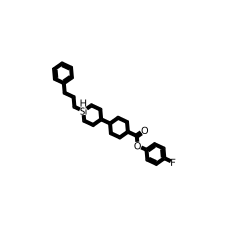 O=C(Oc1ccc(F)cc1)C1CCC(C2CC[SiH](CCCc3ccccc3)CC2)CC1